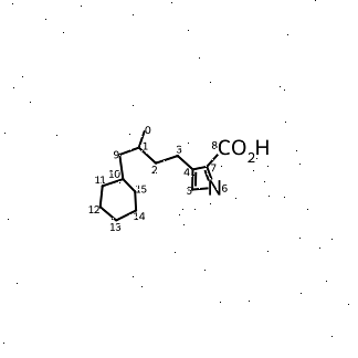 CC(CCC1=CN=C1C(=O)O)CC1CCCCC1